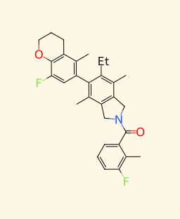 CCc1c(C)c2c(c(C)c1-c1cc(F)c3c(c1C)CCCO3)CN(C(=O)c1cccc(F)c1C)C2